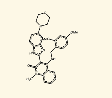 COc1ccc(CNc2c(-c3nc4cc(N5CCOCC5)ccc4[nH]3)c(=O)n(C)c3ccccc23)c(OC)c1